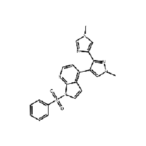 Cn1cnc(-c2nn(C)cc2-c2ccnc3c2ccn3S(=O)(=O)c2ccccc2)c1